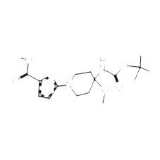 COC(=O)c1ccc(N2CCC(NC(=O)OC(C)(C)C)(OC)CC2)s1